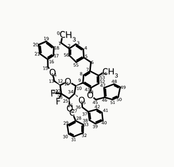 CCc1ccc(Cc2cc([C@@H]3O[C@H](COCc4ccccc4)C(F)(F)[C@H](OCc4ccccc4)[C@H]3OCc3ccccc3)c(OCc3ccccc3)cc2C)cc1